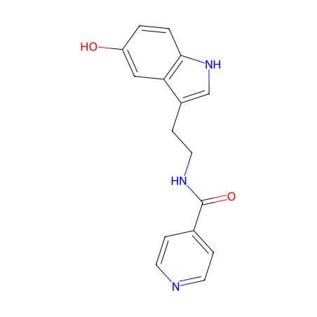 O=C(NCCc1c[nH]c2ccc(O)cc12)c1ccncc1